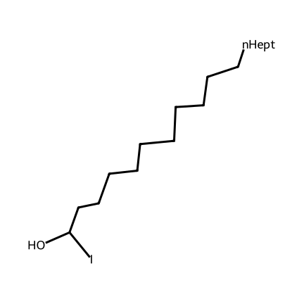 CCCCCCCCCCCCCCCCCC(O)I